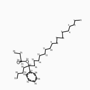 CCCCCCCCCCCCCCCCCC(CCCC)(OC(=O)CC)c1ccccc1